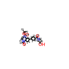 CC(=O)N1c2ccc(-c3ccc(C(=O)N4CC[C@@H](O)C4)cc3)cc2N(C(=O)OC(C)C)C[C@@H]1C